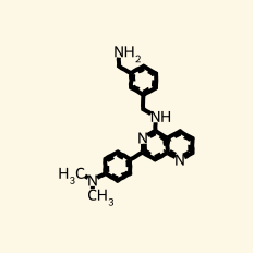 CN(C)c1ccc(-c2cc3ncccc3c(NCc3cccc(CN)c3)n2)cc1